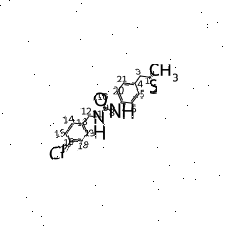 CC(=S)Cc1ccc(NC(=O)NCc2ccc(Cl)cc2)cc1